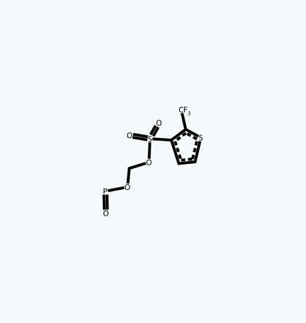 O=POCOS(=O)(=O)c1ccsc1C(F)(F)F